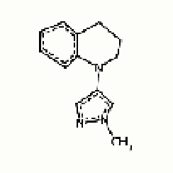 Cn1cc(N2CCCc3ccccc32)cn1